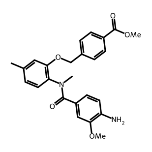 COC(=O)c1ccc(COc2cc(C)ccc2N(C)C(=O)c2ccc(N)c(OC)c2)cc1